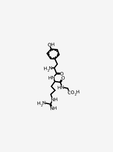 N=C(N)NCCCC(NC(=O)C(N)Cc1ccc(O)cc1)C(=O)NCC(=O)O